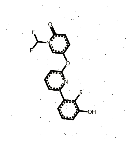 O=c1ccc(Oc2cccc(-c3cccc(O)c3F)n2)cn1C(F)F